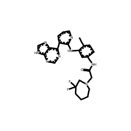 Cc1ccc(NC(=O)CN2CCCCC(F)(F)C2)cc1Nc1ncccc1-c1ncnc2[nH]cnc12